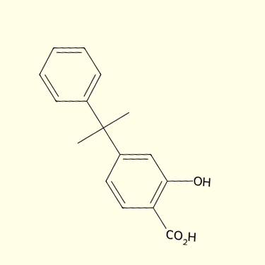 CC(C)(c1ccccc1)c1ccc(C(=O)O)c(O)c1